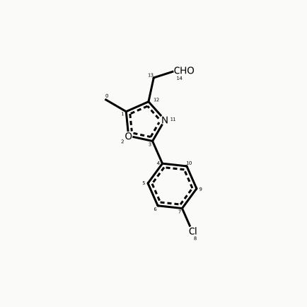 Cc1oc(-c2ccc(Cl)cc2)nc1CC=O